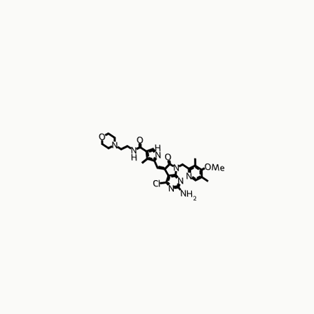 COc1c(C)cnc(CN2C(=O)C(=Cc3[nH]cc(C(=O)NCCN4CCOCC4)c3C)c3c(Cl)nc(N)nc32)c1C